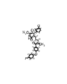 CC1=C(C(=O)O)C(c2cccc(Cl)c2)N(CCCN(C)C(=O)c2ccc(Oc3ccc(F)cc3)cc2)C(=O)N1